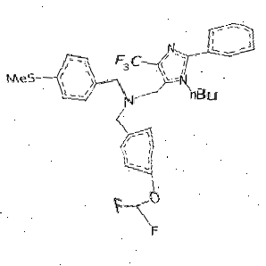 CCCCn1c(-c2ccccc2)nc(C(F)(F)F)c1CN(Cc1ccc(OC(F)F)cc1)Cc1ccc(SC)cc1